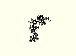 CCc1c(F)cc(-c2cc(C(F)(F)F)c3c(N)ncnn23)cc1C(=O)N[C@@H]1CN(C(=O)CC(C(F)(F)F)C(F)(F)F)C[C@@H]1F